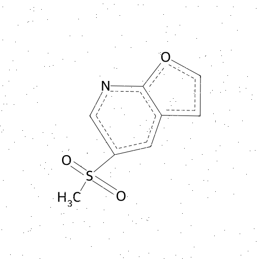 CS(=O)(=O)c1cnc2occc2c1